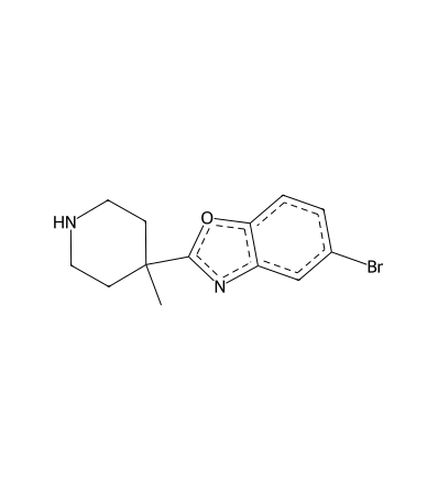 CC1(c2nc3cc(Br)ccc3o2)CCNCC1